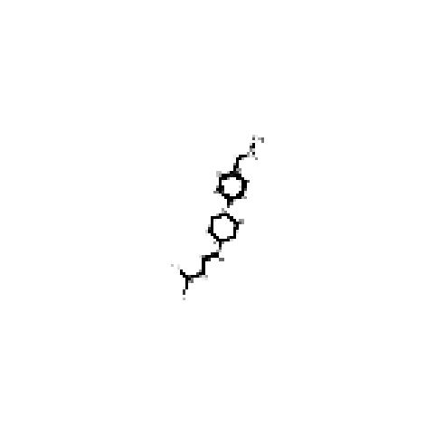 CCCOCc1ccc([C@H]2CC[C@H](/C=C/CC(F)F)CC2)cc1